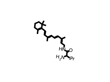 CC(C=CC1=C(C)CCCC1(C)C)=CC=CC(C)=CCNC(=O)C(N)C(C)C